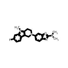 CN(C)c1nc2ccc(N3CCc4c(c5ccc(F)cc5n4C)C3)cc2o1